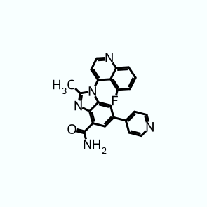 Cc1nc2c(C(N)=O)cc(-c3ccncc3)cc2n1-c1ccnc2cccc(F)c12